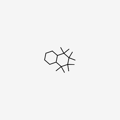 CC1(C)C2CCCCC2C(C)(C)C(C)(C)C1(C)C